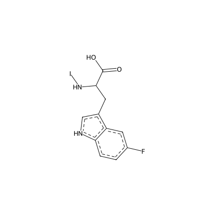 O=C(O)C(Cc1c[nH]c2ccc(F)cc12)NI